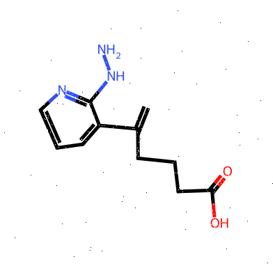 C=C(CCCC(=O)O)c1cccnc1NN